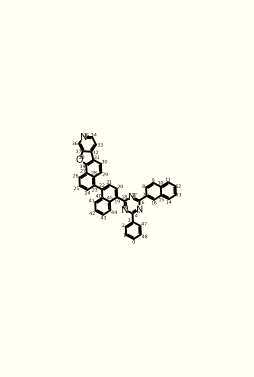 c1ccc(-c2nc(-c3ccc4ccccc4c3)nc(-c3ccc(-c4cccc5c4ccc4c6ccncc6oc54)c4ccccc34)n2)cc1